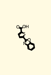 O=C(O)c1ccc(-c2nc3ccccc3o2)s1